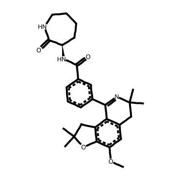 COc1cc2c(c3c1OC(C)(C)C3)C(c1cccc(C(=O)N[C@@H]3CCCCNC3=O)c1)=NC(C)(C)C2